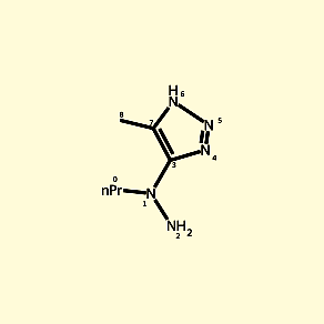 CCCN(N)c1nn[nH]c1C